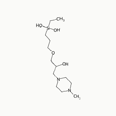 CC[Si](O)(O)CCCOCC(O)CN1CCN(C)CC1